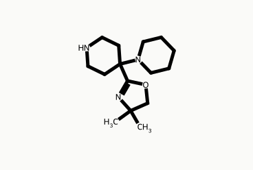 CC1(C)COC(C2(N3CCCCC3)CCNCC2)=N1